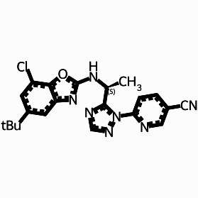 C[C@H](Nc1nc2cc(C(C)(C)C)cc(Cl)c2o1)c1ncnn1-c1ccc(C#N)cn1